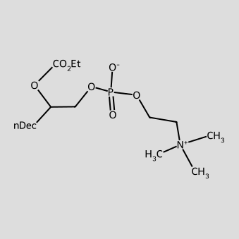 CCCCCCCCCCC(COP(=O)([O-])OCC[N+](C)(C)C)OC(=O)OCC